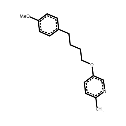 COc1ccc(CCCCOc2ccc(C)nc2)cc1